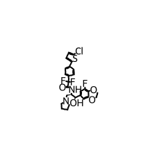 O=C(N[C@H](CN1CCCC1)[C@H](O)c1cc(F)c2c(c1)OCCO2)C(F)(F)c1ccc(-c2ccc(Cl)s2)cc1